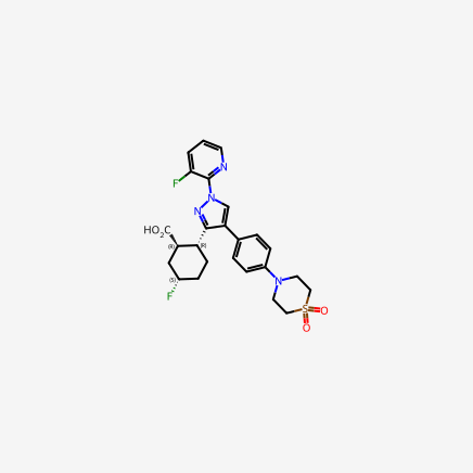 O=C(O)[C@@H]1C[C@@H](F)CC[C@H]1c1nn(-c2ncccc2F)cc1-c1ccc(N2CCS(=O)(=O)CC2)cc1